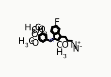 COc1cc(/C=C2/C(C)=C(CC(=O)C=[N+]=[N-])c3cc(F)ccc32)cc(OC)c1OC